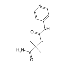 CC(C)([CH]C(=O)Nc1ccncc1)C(N)=O